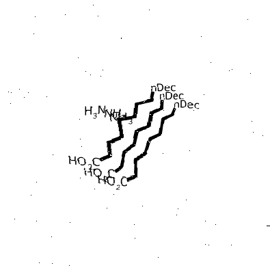 CCCCCCCCCCCCCCCCCC(=O)O.CCCCCCCCCCCCCCCCCC(=O)O.CCCCCCCCCCCCCCCCCC(=O)O.N.N.N